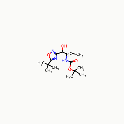 CC[C@H](NC(=O)OC(C)(C)C)C(O)c1noc(C(C)(C)C)n1